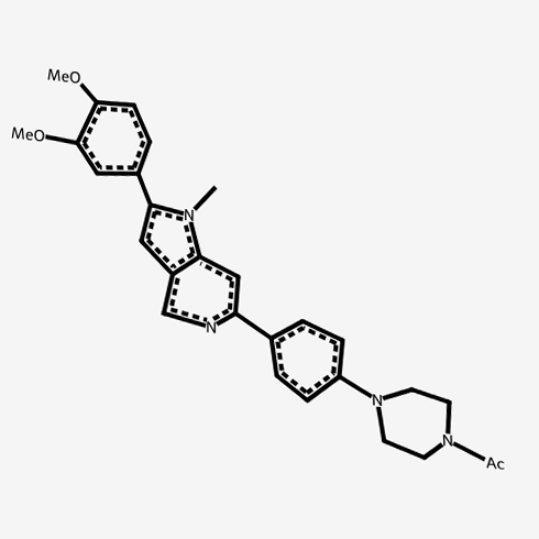 COc1ccc(-c2cc3cnc(-c4ccc(N5CCN(C(C)=O)CC5)cc4)cc3n2C)cc1OC